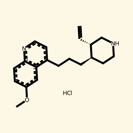 C=C[C@@H]1CNCC[C@H]1CCCc1ccnc2ccc(OC)cc12.Cl